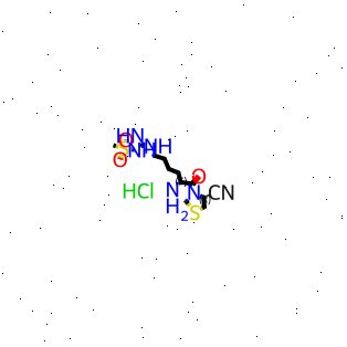 CS(=O)(=O)NC(=N)NCCCC[C@H](N)C(=O)N1CSC[C@H]1C#N.Cl